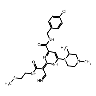 CSCCNC(=O)/C(C=N)=C1\N=C(C(=O)NCc2ccc(Cl)cc2)C=C(N2CCN(C)CC2C)N1